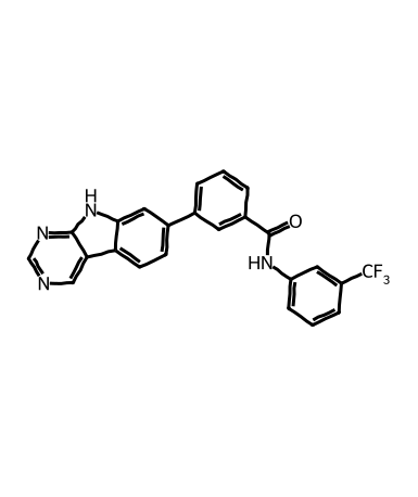 O=C(Nc1cccc(C(F)(F)F)c1)c1cccc(-c2ccc3c(c2)[nH]c2ncncc23)c1